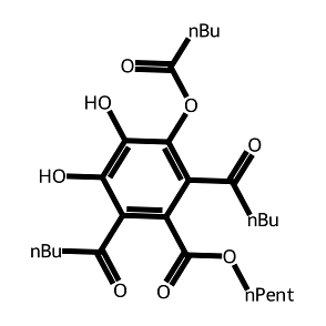 CCCCCOC(=O)c1c(C(=O)CCCC)c(O)c(O)c(OC(=O)CCCC)c1C(=O)CCCC